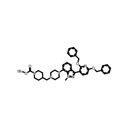 Cn1nc(-c2ccc(OCc3ccccc3)nc2OCc2ccccc2)c2cccc(N3CCN(CC4CCN(C(=O)OC(C)(C)C)CC4)CC3)c21